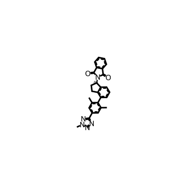 Cc1cc(-c2nnn(C)n2)cc(C)c1-c1cccc2c1CC[C@H]2N1C(=O)c2ccccc2C1=O